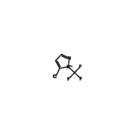 FC(F)(F)[N+]1N=CC=C1Cl